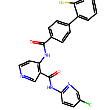 O=C(Nc1ccncc1C(=O)Nc1ccc(Cl)cn1)c1ccc(-c2ccccc2S)cc1